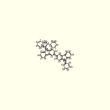 c1ccc(-c2nc3ccccn3c2-n2c3ccccc3c3cc(-c4ccc5c(c4)c4ccccc4n5-c4ccccc4)ccc32)cc1